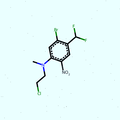 CN(CCCl)c1cc(Br)c(C(F)F)cc1[N+](=O)[O-]